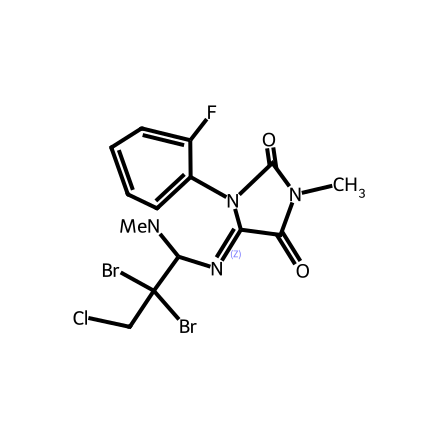 CNC(/N=C1/C(=O)N(C)C(=O)N1c1ccccc1F)C(Br)(Br)CCl